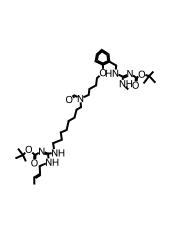 C/C=C/CNC(=NC(=O)OC(C)(C)C)NCCCCCCCCN(C=O)CCCCOc1ccccc1CNC(=NC(=O)OC(C)(C)C)NC